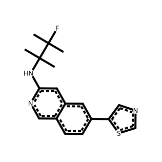 CC(C)(F)C(C)(C)Nc1cc2cc(-c3cncs3)ccc2cn1